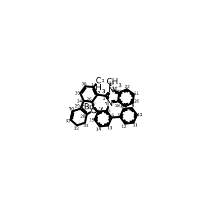 CC1=C(c2n(-c3c(-c4ccccc4)cccc3C(C)(C)C)c3ccccc3[n+]2C)C2OC3=C(C=CCC3)C2C=C1